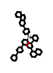 c1ccc(-c2ccc(-c3ccc(N(c4ccc(-c5ccc6c(ccc7ccccc76)c5)cc4)c4ccccc4-c4cccc(-c5cccc6ccccc56)c4)cc3)cc2)cc1